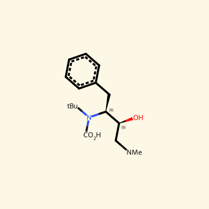 CNC[C@H](O)[C@H](Cc1ccccc1)N(C(=O)O)C(C)(C)C